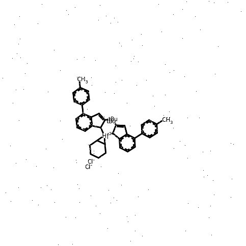 Cc1ccc(-c2cccc3c2C=C(C(C)(C)C)[CH]3[Hf+2]2([CH]3C(C(C)(C)C)=Cc4c(-c5ccc(C)cc5)cccc43)[CH]3CCCC[CH]32)cc1.[Cl-].[Cl-]